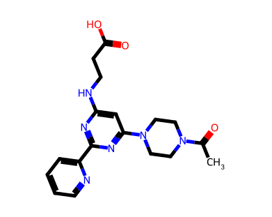 CC(=O)N1CCN(c2cc(NCCC(=O)O)nc(-c3ccccn3)n2)CC1